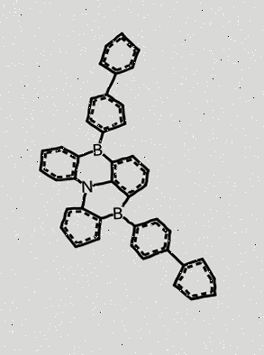 c1ccc(-c2ccc(B3c4ccccc4N4c5ccccc5B(c5ccc(-c6ccccc6)cc5)c5cccc3c54)cc2)cc1